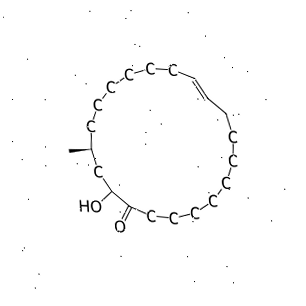 C[C@H]1CCCCCC/C=C/CCCCCCCCC(=O)C(O)C1